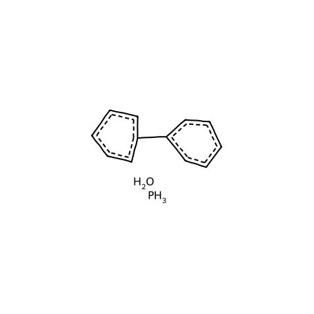 O.P.c1ccc(-c2ccccc2)cc1